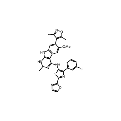 COc1cc2c3c([nH]c2cc1-c1c(C)noc1C)NC(C)N=C3Nc1sc(-c2ncco2)nc1-c1cccc(Cl)c1